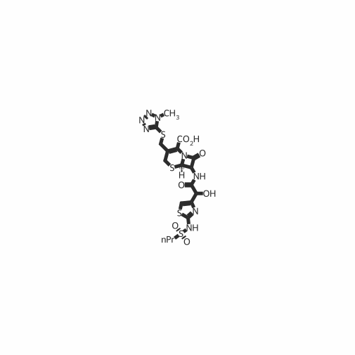 CCCS(=O)(=O)Nc1nc(C(O)C(=O)NC2C(=O)N3C(C(=O)O)=C(CSc4nnnn4C)CS[C@H]23)cs1